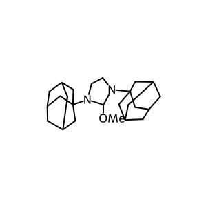 COC1N(C23CC4CC(CC(C4)C2)C3)CCN1C12CC3CC(CC(C3)C1)C2